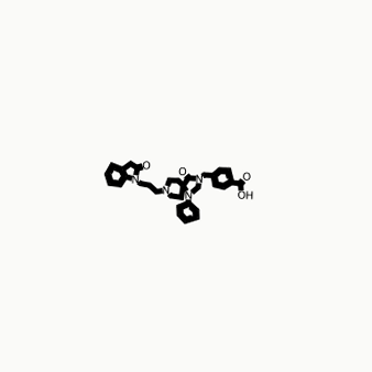 O=C(O)c1ccc(CN2CN(c3ccccc3)C3(CCN(CCCN4C(=O)Cc5ccccc54)CC3)C2=O)cc1